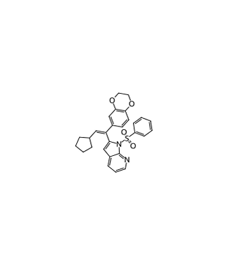 O=S(=O)(c1ccccc1)n1c(C(=CC2CCCC2)c2ccc3c(c2)OCCO3)cc2cccnc21